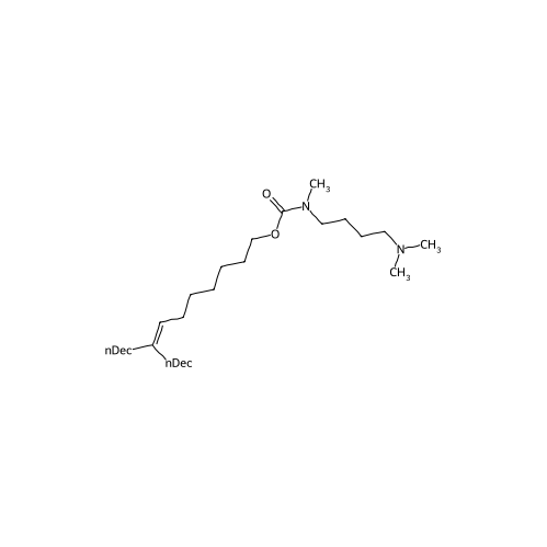 CCCCCCCCCCC(=CCCCCCCOC(=O)N(C)CCCCN(C)C)CCCCCCCCCC